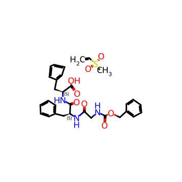 C=CS(C)(=O)=O.O=C(CNC(=O)OCc1ccccc1)N[C@@H](Cc1ccccc1)C(=O)N[C@@H](Cc1ccccc1)C(=O)O